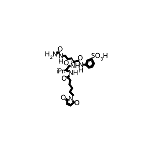 CC(C)[C@H](NC(=O)CCCCCN1C(=O)C=CC1=O)C(=O)N[C@@H](CCCNC(N)=O)C(=O)Nc1cccc(S(=O)(=O)O)c1